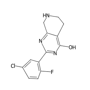 Oc1nc(-c2cc(Cl)ccc2F)nc2c1CCNC2